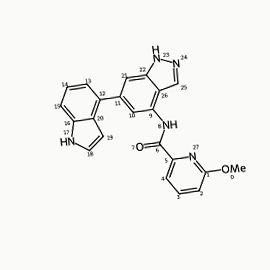 COc1cccc(C(=O)Nc2cc(-c3cccc4[nH]ccc34)cc3[nH]ncc23)n1